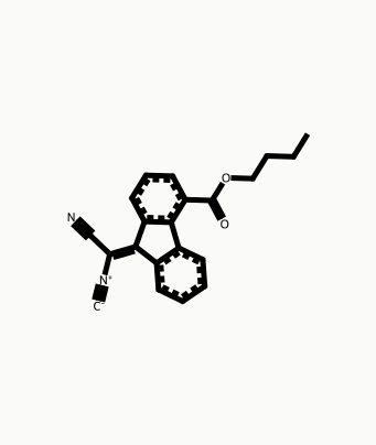 [C-]#[N+]/C(C#N)=C1\c2ccccc2-c2c(C(=O)OCCCC)cccc21